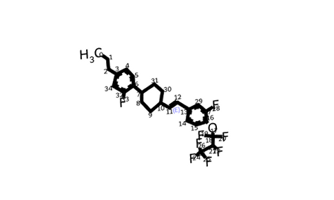 CCCc1ccc(C2CCC(/C=C/c3ccc(OC(F)(F)C(F)C(F)(F)F)c(F)c3)CC2)c(F)c1